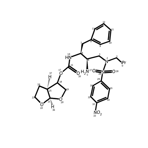 CC(C)CN(C[C@@H](N)[C@H](Cc1ccccc1)NC(=O)OC1CO[C@H]2OCC[C@@H]12)S(=O)(=O)c1ccc([N+](=O)[O-])cc1